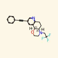 FC(F)(F)CN1CCO[C@H]2c3cc(C#Cc4ccccc4)cnc3CC[C@H]21